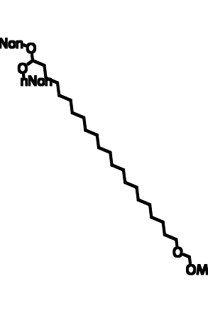 CCCCCCCCCOC(CCCCCCCCCCCCCCCCCCCCCOCOC)OCCCCCCCCC